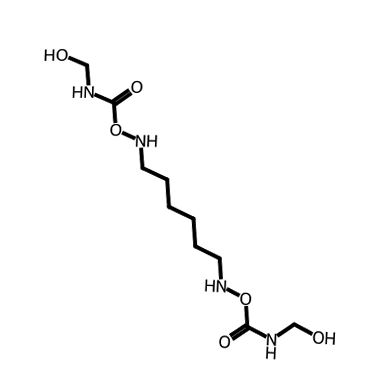 O=C(NCO)ONCCCCCCNOC(=O)NCO